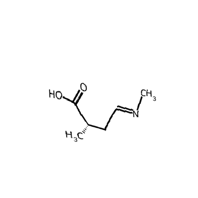 C/N=C/C[C@H](C)C(=O)O